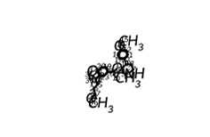 CC[C@H](O[C@H]1CNCC[C@@H]1c1ccc(OC)cc1)c1ccc2c(c1)N(CCCOC)CCO2